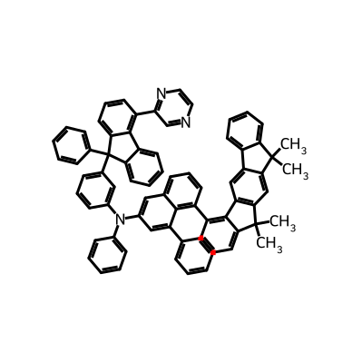 CC1(C)c2ccccc2-c2cc3c(cc21)C(C)(C)c1cccc(-c2cccc4cc(N(c5ccccc5)c5cccc(C6(c7ccccc7)c7ccccc7-c7c(-c8cnccn8)cccc76)c5)cc(-c5ccccc5)c24)c1-3